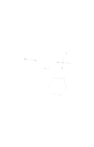 C=C(C)C(=O)OC(CC(C)(C)C(F)(F)F)C1CCCCC1